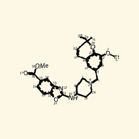 CCOc1cc(CN2CCC(Nc3nc4cc(C(=O)OC)ccc4o3)CC2)cc2c1OC(C)(C)C=C2